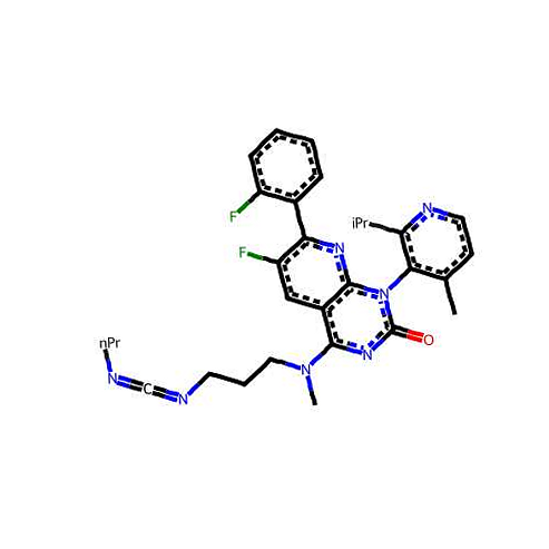 CCCN=C=NCCCN(C)c1nc(=O)n(-c2c(C)ccnc2C(C)C)c2nc(-c3ccccc3F)c(F)cc12